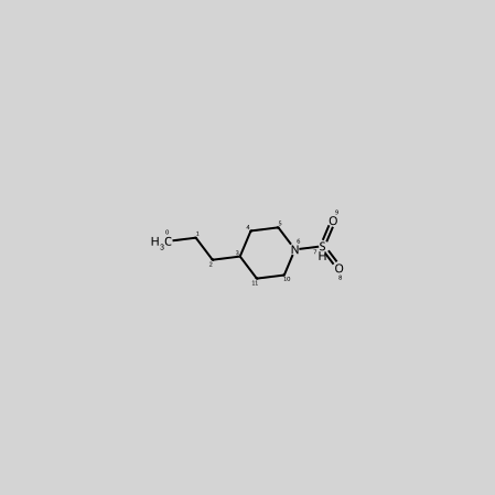 CCCC1CCN([SH](=O)=O)CC1